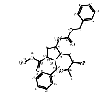 CCCC(C[C@@H]1[C@H](NC(=O)OCc2ccccc2)C[C@H](C(=O)OC(C)(C)C)N1Cc1ccccc1)C(C)O